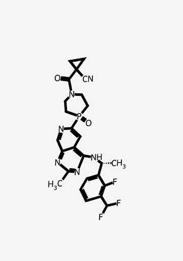 Cc1nc(N[C@H](C)c2cccc(C(F)F)c2F)c2cc(P3(=O)CCN(C(=O)C4(C#N)CC4)CC3)ncc2n1